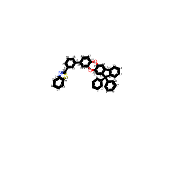 c1ccc(C2(c3ccccc3)c3ccccc3-c3cc4c(cc32)Oc2cc(-c3cccc(-c5nc6ccccc6s5)c3)ccc2O4)cc1